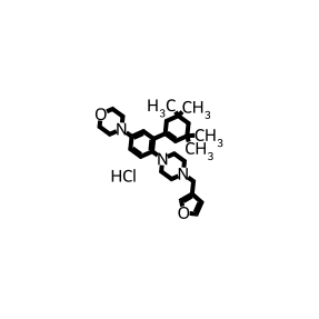 CC1(C)C=C(c2cc(N3CCOCC3)ccc2N2CCN(Cc3ccoc3)CC2)CC(C)(C)C1.Cl